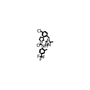 Cc1cc(C(F)(F)F)ccc1NC(=O)N1CCC[C@@H]1c1nnc(C)n1Cc1ccc(Cl)cc1